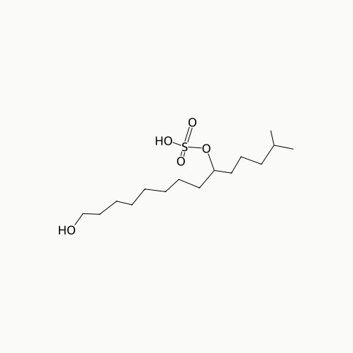 CC(C)CCCC(CCCCCCCCO)OS(=O)(=O)O